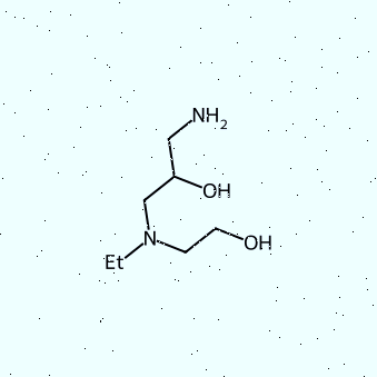 CCN(CCO)CC(O)CN